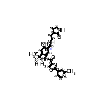 Cc1cc(-c2nc(C(=O)NC3=C/C(=C/NCCC4CCNC4=O)C(=N)C=C3C(C)(C)O)co2)ccn1